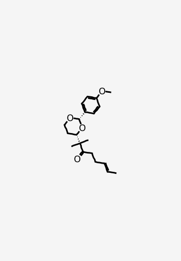 CC=CCCC(=O)C(C)(C)[C@@H]1CCO[C@H](c2ccc(OC)cc2)O1